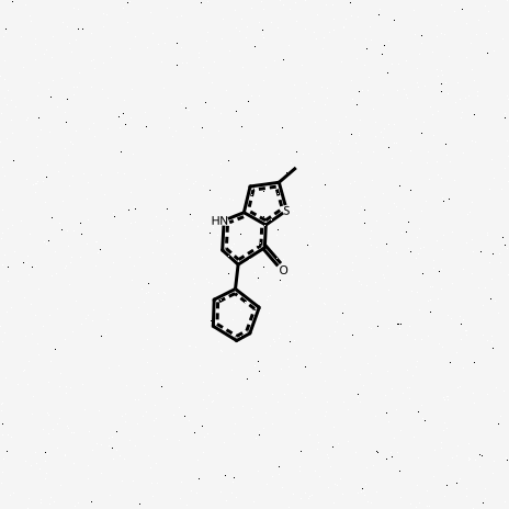 Cc1cc2[nH]cc(-c3ccccc3)c(=O)c2s1